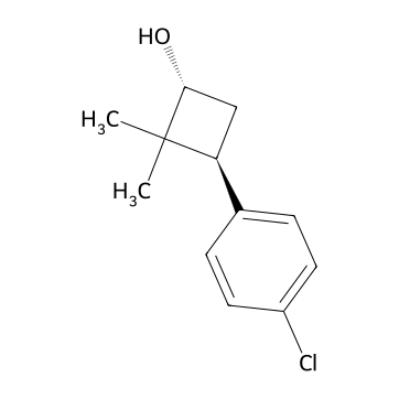 CC1(C)[C@H](O)C[C@H]1c1ccc(Cl)cc1